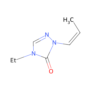 C/C=C\n1ncn(CC)c1=O